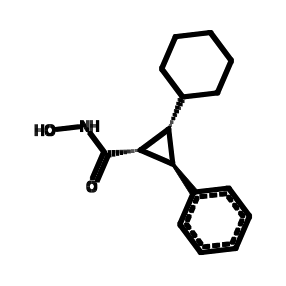 O=C(NO)[C@H]1[C@H](c2ccccc2)[C@H]1C1CCCCC1